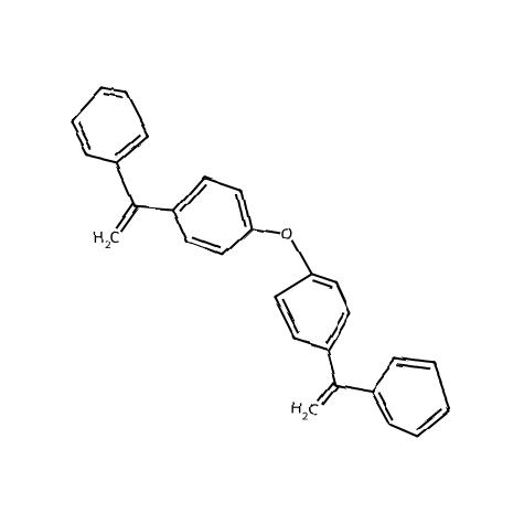 C=C(c1ccccc1)c1ccc(Oc2ccc(C(=C)c3ccccc3)cc2)cc1